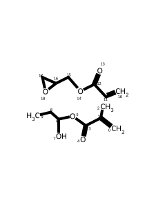 C=C(C)C(=O)OC(O)CC.C=CC(=O)OCC1CO1